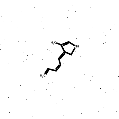 C=C/C=C\C=C1/CNC=C1C